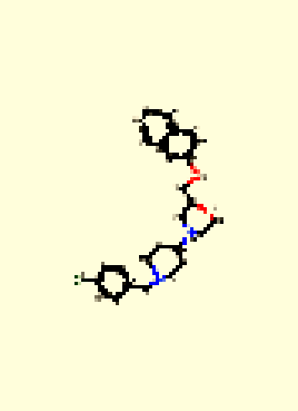 Clc1ccc(CN2CCC(N3CCOC(COc4ccc5ccccc5c4)C3)CC2)cc1